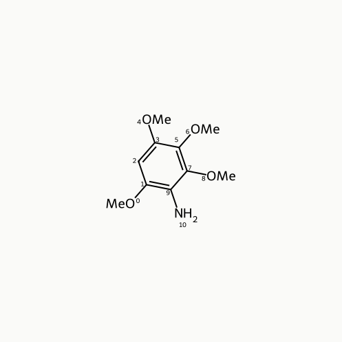 COc1cc(OC)c(OC)c(OC)c1N